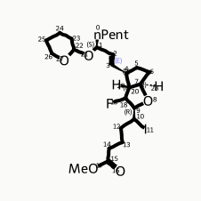 CCCCC[C@@H](/C=C/[C@H]1CC[C@H]2O[C@@H](C(I)CCCC(=O)OC)C(F)[C@H]12)OC1CCCCO1